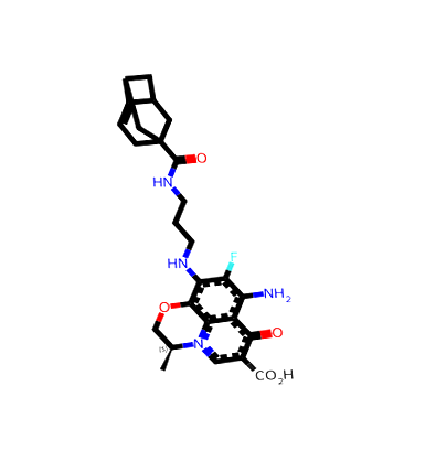 C[C@H]1COc2c(NCCCNC(=O)C34CC=C5C(CC5C3)C4)c(F)c(N)c3c(=O)c(C(=O)O)cn1c23